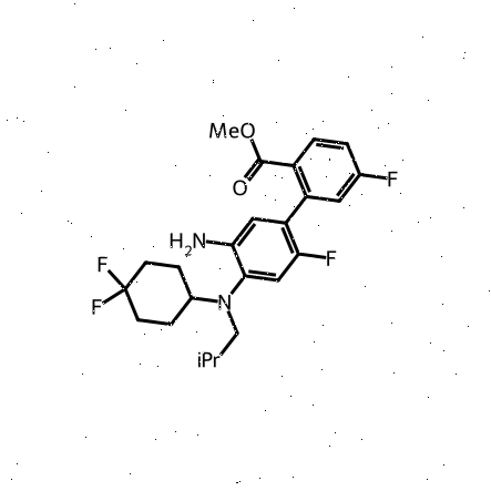 COC(=O)c1ccc(F)cc1-c1cc(N)c(N(CC(C)C)C2CCC(F)(F)CC2)cc1F